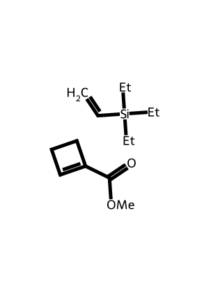 C=C[Si](CC)(CC)CC.COC(=O)C1=CCC1